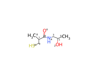 CC(O)CNC(=O)C(C)CS